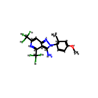 COc1ccc(-n2nc3cc(C(F)(F)F)nc(C(F)(F)F)c3c2N)c(C)c1